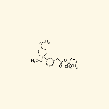 COC1CCC(OC)(c2cccc(NC(=O)OC(C)(C)C)c2)CC1